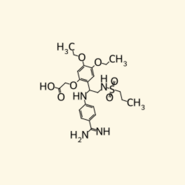 CCCS(=O)(=O)NCC(Nc1ccc(C(=N)N)cc1)c1cc(OCC)c(OCC)cc1OCC(=O)O